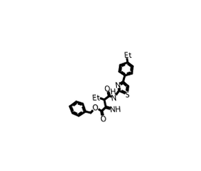 CCc1ccc(-c2csc(NC(=O)C(CC)C(=N)C(=O)OCc3ccccc3)n2)cc1